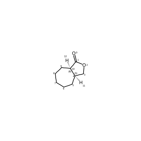 O=C1OC[C@H]2CCCCC[C@@H]12